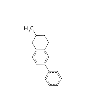 CC1CCc2cc(-c3ccccc3)ccc2C1